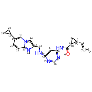 C=C[C@H]1C[C@@H]1C(=O)Nc1cc(NCc2cn3cc(C4CC4)ccc3n2)ncn1